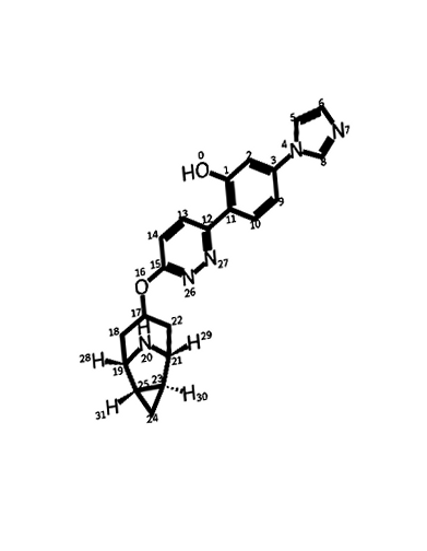 Oc1cc(-n2ccnc2)ccc1-c1ccc(OC2C[C@@H]3N[C@H](C2)[C@H]2C[C@@H]23)nn1